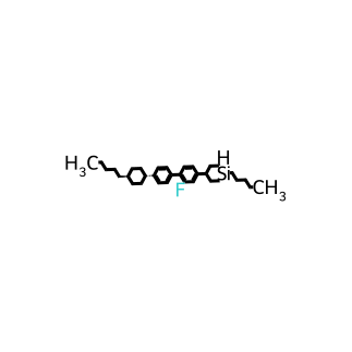 CCCCC[SiH]1CCC(c2ccc(-c3ccc([C@H]4CC[C@H](CCCCC)CC4)cc3)c(F)c2)CC1